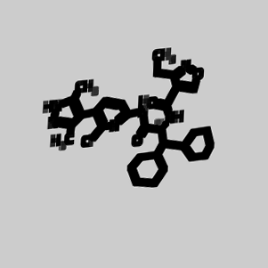 CCc1nocc1C(=O)N[C@H](C(=O)Nc1ccc(-c2c(C)n[nH]c2C)c(Cl)n1)C(C1CCCCC1)C1CCCCC1